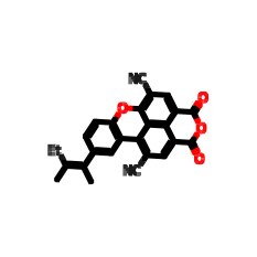 CC/C(C)=C(/C)c1ccc2oc3c(C#N)cc4c(=O)oc(=O)c5cc(C#N)c(c2c1)c3c45